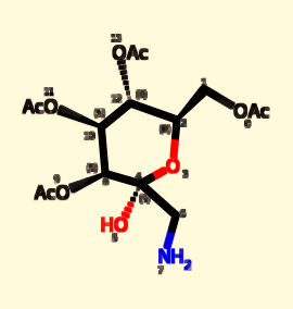 CC(=O)OC[C@H]1O[C@@](O)(CN)[C@@H](OC(C)=O)[C@@H](OC(C)=O)[C@@H]1OC(C)=O